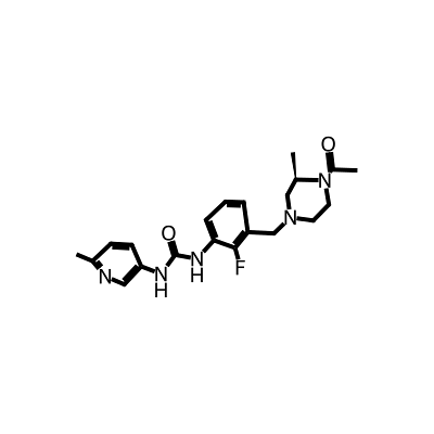 CC(=O)N1CCN(Cc2cccc(NC(=O)Nc3ccc(C)nc3)c2F)C[C@H]1C